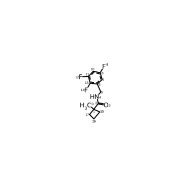 CC1(C(=O)NCc2cc(F)cc(F)c2F)CCC1